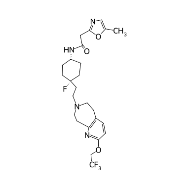 Cc1cnc(CC(=O)N[C@H]2CC[C@](F)(CCN3CCc4ccc(OCC(F)(F)F)nc4CC3)CC2)o1